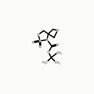 CC(C)(C)OC(=O)N1C2(COC2)COS1(=O)=O